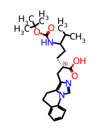 CC(C)C(CC[C@@H](Cc1ncn2c1CCc1ccccc1-2)C(=O)O)NC(=O)OC(C)(C)C